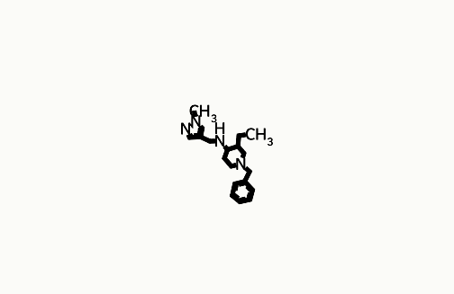 CCC1CN(Cc2ccccc2)CCC1NCc1cnn(C)c1